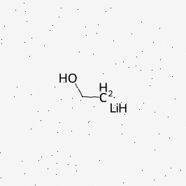 [CH2]CO.[LiH]